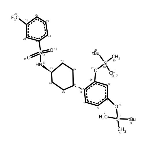 CC(C)(C)[Si](C)(C)Oc1ccc([C@H]2CC[C@H](NS(=O)(=O)c3cccc(C(F)(F)F)c3)CC2)c(O[Si](C)(C)C(C)(C)C)c1